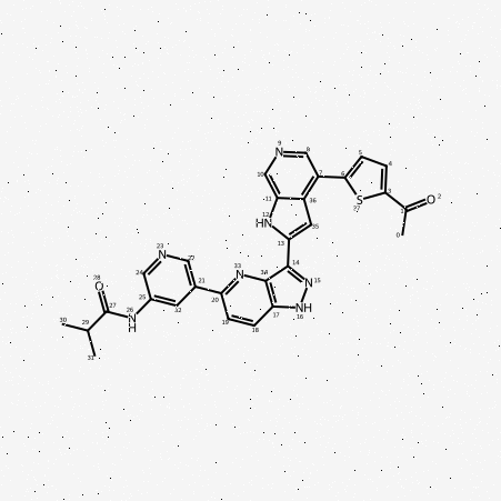 CC(=O)c1ccc(-c2cncc3[nH]c(-c4n[nH]c5ccc(-c6cncc(NC(=O)C(C)C)c6)nc45)cc23)s1